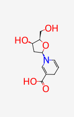 O=C(O)C1=CN([C@H]2C[C@@H](O)[C@@H](CO)O2)C=CC1